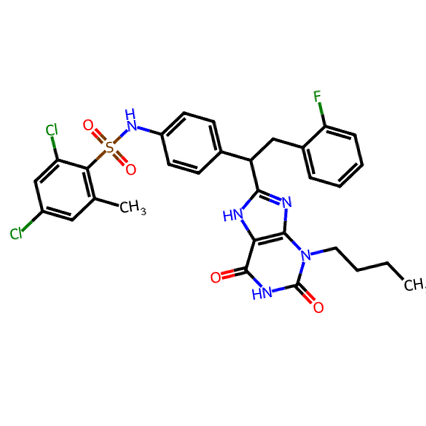 CCCCn1c(=O)[nH]c(=O)c2[nH]c(C(Cc3ccccc3F)c3ccc(NS(=O)(=O)c4c(C)cc(Cl)cc4Cl)cc3)nc21